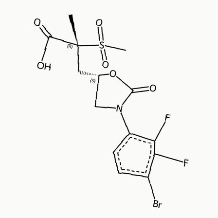 C[C@@](C[C@H]1CN(c2ccc(Br)c(F)c2F)C(=O)O1)(C(=O)O)S(C)(=O)=O